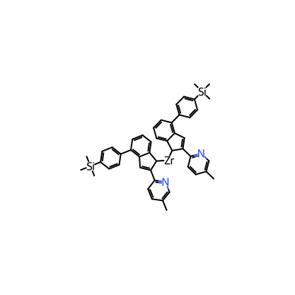 Cc1ccc(C2=Cc3c(-c4ccc([Si](C)(C)C)cc4)cccc3[CH]2[Zr][CH]2C(c3ccc(C)cn3)=Cc3c(-c4ccc([Si](C)(C)C)cc4)cccc32)nc1